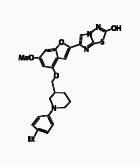 CCc1ccc(N2CCCC(COc3cc(OC)cc4oc(-c5cn6nc(O)sc6n5)cc34)C2)cc1